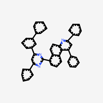 c1ccc(-c2cccc(-c3cc(-c4ccccc4)nc(-c4cccc5c4ccc4nc(-c6ccccc6)cc(-c6ccccc6)c45)n3)c2)cc1